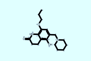 CCCOc1cc(CN2CCCCC2)c(O)c2c1NC(=O)CC2